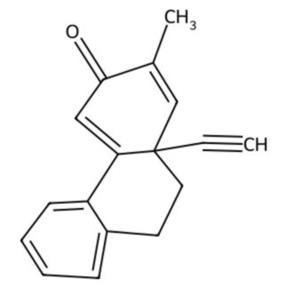 C#CC12C=C(C)C(=O)C=C1c1ccccc1CC2